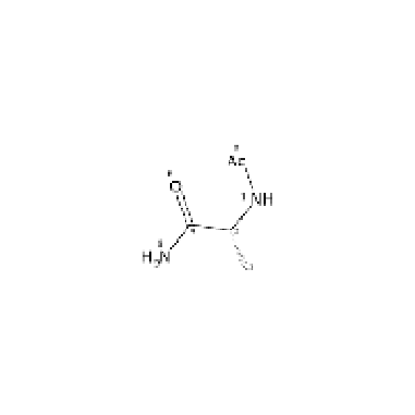 CC(=O)N[C@H](C)C(N)=O